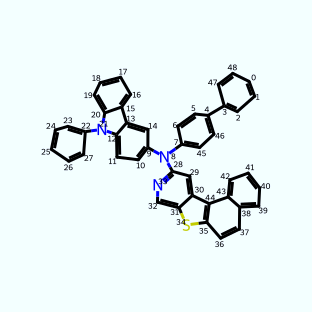 c1ccc(-c2ccc(N(c3ccc4c(c3)c3ccccc3n4-c3ccccc3)c3cc4c(cn3)sc3ccc5ccccc5c34)cc2)cc1